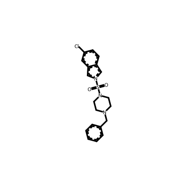 O=S(=O)(N1CCN(Cc2ccccc2)CC1)n1cc2ccc(Cl)cc2c1